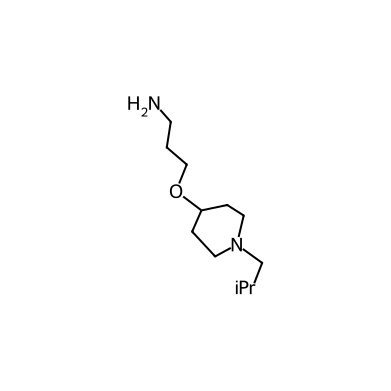 CC(C)CN1CCC(OCCCN)CC1